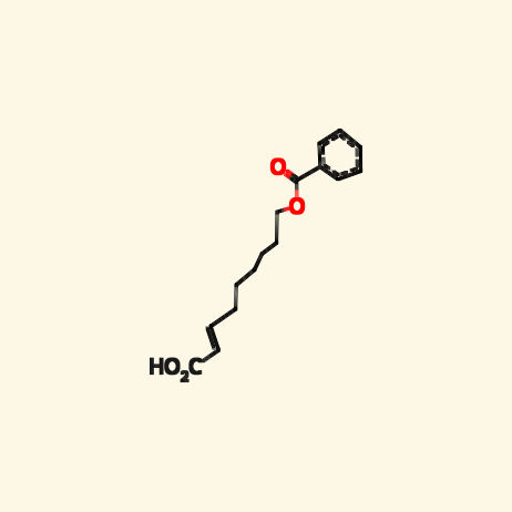 O=C(O)C=CCCCCCCOC(=O)c1ccccc1